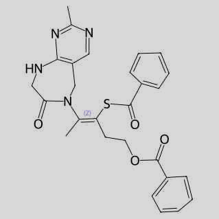 C/C(=C(\CCOC(=O)c1ccccc1)SC(=O)c1ccccc1)N1Cc2cnc(C)nc2NCC1=O